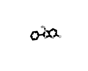 CC(C)(C)n1c(-c2ccccc2)nc2nc(Cl)ccc21